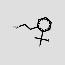 CCCc1ccccc1C(F)(I)I